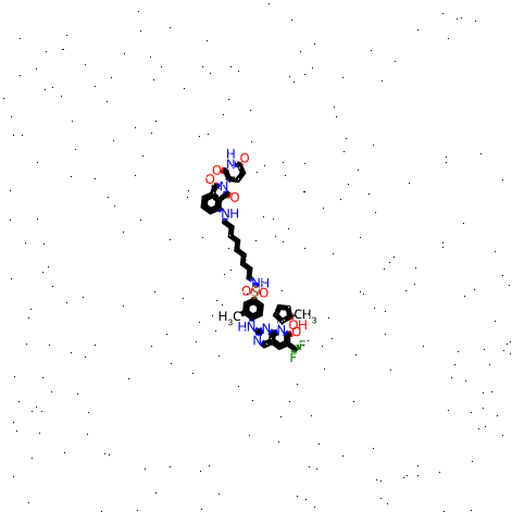 Cc1cc(S(=O)(=O)NCCCCCCCCCNc2cccc3c2C(=O)N(C2CCC(=O)NC2=O)C3=O)ccc1Nc1ncc2cc(C(F)F)c(=O)n([C@@H]3CCC[C@@]3(C)O)c2n1